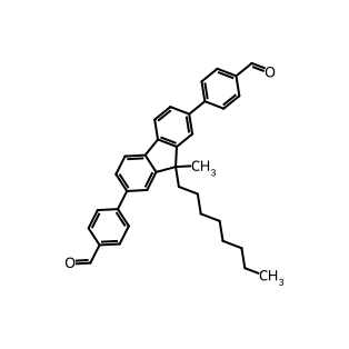 CCCCCCCCC1(C)c2cc(-c3ccc(C=O)cc3)ccc2-c2ccc(-c3ccc(C=O)cc3)cc21